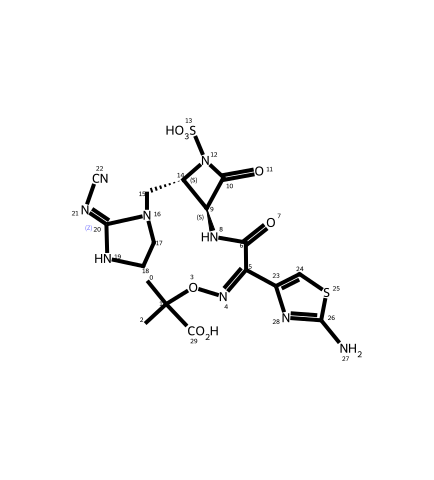 CC(C)(ON=C(C(=O)N[C@@H]1C(=O)N(S(=O)(=O)O)[C@H]1CN1CCN/C1=N/C#N)c1csc(N)n1)C(=O)O